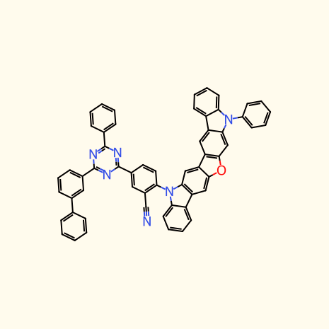 N#Cc1cc(-c2nc(-c3ccccc3)nc(-c3cccc(-c4ccccc4)c3)n2)ccc1-n1c2ccccc2c2cc3oc4cc5c(cc4c3cc21)c1ccccc1n5-c1ccccc1